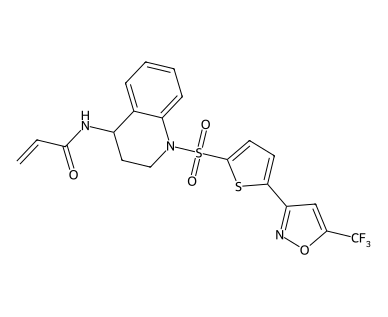 C=CC(=O)NC1CCN(S(=O)(=O)c2ccc(-c3cc(C(F)(F)F)on3)s2)c2ccccc21